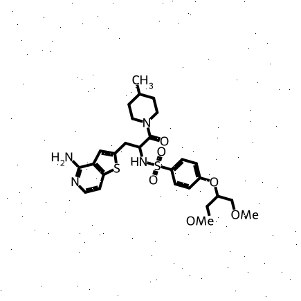 COCC(COC)Oc1ccc(S(=O)(=O)NC(Cc2cc3c(N)nccc3s2)C(=O)N2CCC(C)CC2)cc1